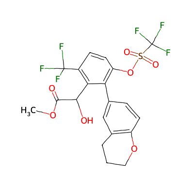 COC(=O)C(O)c1c(C(F)(F)F)ccc(OS(=O)(=O)C(F)(F)F)c1-c1ccc2c(c1)CCCO2